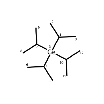 C[CH](C)[Ge]([CH](C)C)([CH](C)C)[CH](C)C